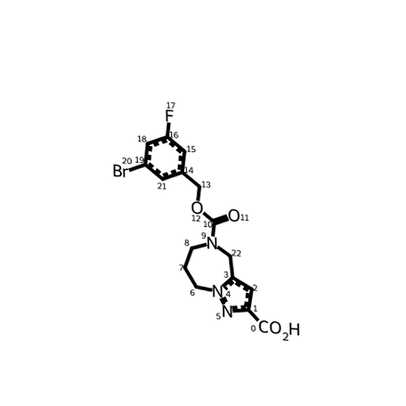 O=C(O)c1cc2n(n1)CCCN(C(=O)OCc1cc(F)cc(Br)c1)C2